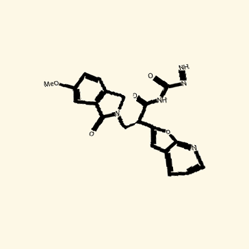 COc1ccc2c(c1)C(=O)N(C[C@@H](C(=O)NC(=O)N=N)c1cc3cccnc3o1)C2